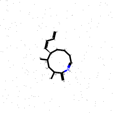 C=C/C=C\[C@H]1CCC/C=N\C(=C)C(C)CC1C